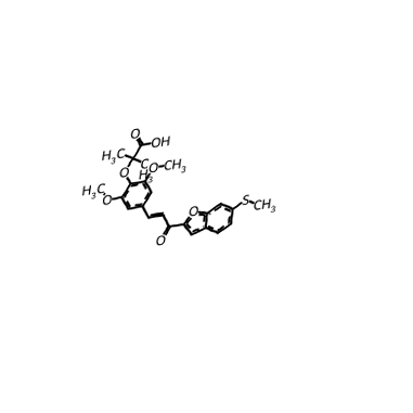 COc1cc(C=CC(=O)c2cc3ccc(SC)cc3o2)cc(OC)c1OC(C)(C)C(=O)O